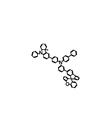 CC12C=CC=CC1N(c1ccccc1)c1ccc(-c3ccc(N(c4ccc(-c5ccccc5)cc4)c4cccc(-c5ccc6c(c5)C5(c7ccccc7Oc7ccccc75)c5ccccc5-6)c4)cc3)cc12